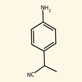 CC(C#N)c1ccc(N)cc1